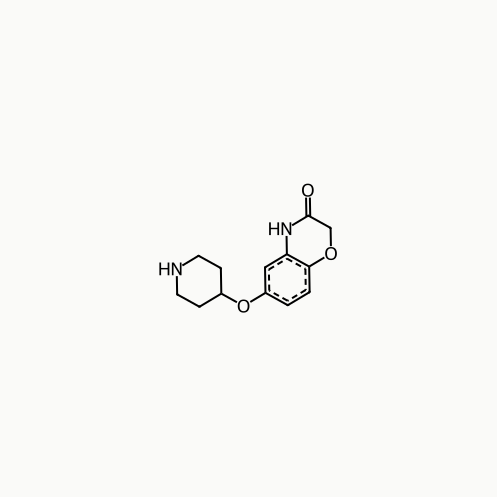 O=C1COc2ccc(OC3CCNCC3)cc2N1